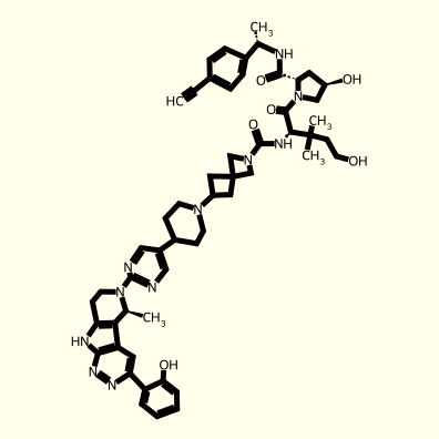 C#Cc1ccc([C@H](C)NC(=O)[C@@H]2C[C@@H](O)CN2C(=O)[C@@H](NC(=O)N2CC3(CC(N4CCC(c5cnc(N6CCc7[nH]c8nnc(-c9ccccc9O)cc8c7[C@@H]6C)nc5)CC4)C3)C2)C(C)(C)CCO)cc1